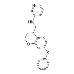 c1ccc(Sc2ccc3c(c2)OCCC3CNc2cccnc2)cc1